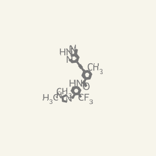 Cc1ccc(C(=O)Nc2ccc(CN3CC[C@H](N(C)C)C3)c(C(F)(F)F)c2)cc1C#Cc1cnc2[nH]ncc2c1